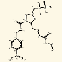 CCOC(=O)CSCC1CC(O[Si](C)(C)C(C)(C)C)CN1C(=O)OCc1ccc([N+](=O)[O-])cc1